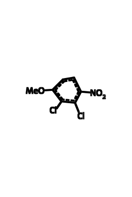 COc1ccc([N+](=O)[O-])c(Cl)c1Cl